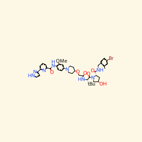 COc1cc(N2CCC(OCC(=O)N[C@H](C(=O)N3C[C@H](O)C[C@H]3C(=O)NCc3ccc(Br)cc3C)C(C)(C)C)CC2)ccc1NC(=O)c1cccc(-c2cc[nH]n2)n1